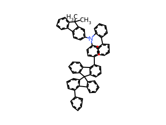 CC1(C)c2ccccc2-c2ccc(N(c3ccc(-c4cccc5c4-c4ccccc4C54c5ccccc5-c5c(-c6ccccc6)cccc54)cc3)c3ccccc3-c3ccccc3)cc21